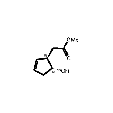 COC(=O)C[C@@H]1C=CC[C@H]1O